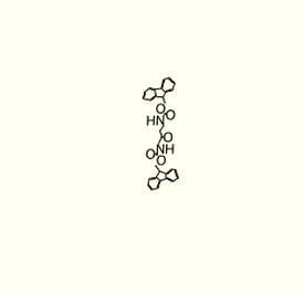 O=C(CCNC(=O)OCC1c2ccccc2-c2ccccc21)CNC(=O)OCC1c2ccccc2-c2ccccc21